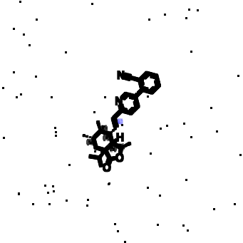 CC(C)[C@@]12C[C@H](C)[C@@H](C)[C@H](/C=C/c3ccc(-c4ccccc4C#N)cn3)[C@@H]1[C@@H](C)OC2=O